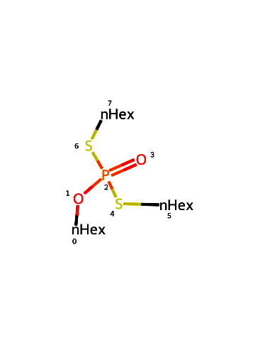 CCCCCCOP(=O)(SCCCCCC)SCCCCCC